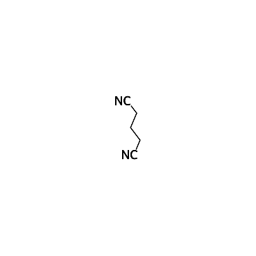 N#CCCCC#N